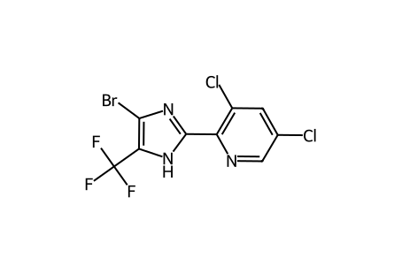 FC(F)(F)c1[nH]c(-c2ncc(Cl)cc2Cl)nc1Br